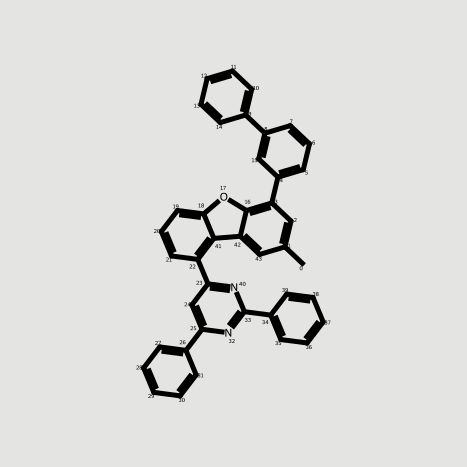 Cc1cc(-c2cccc(-c3ccccc3)c2)c2oc3cccc(-c4cc(-c5ccccc5)nc(-c5ccccc5)n4)c3c2c1